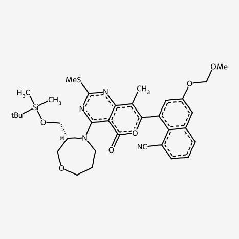 COCOc1cc(-c2oc(=O)c3c(N4CCCOC[C@@H]4CO[Si](C)(C)C(C)(C)C)nc(SC)nc3c2C)c2c(C#N)cccc2c1